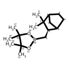 CC1(C)C2CCC(C2)[C@H]1CB1OC(C)(C)C(C)(C)O1